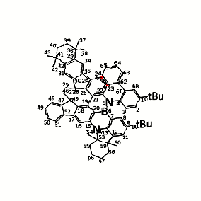 CC(C)(C)c1ccc(N2B3c4cc(C(C)(C)C)cc5c4N(c4cc6c(c(c43)-c3c2ccc2c3C(C)(C)c3cc4c(cc3-2)C(C)(C)CCC4(C)C)C(C)(C)c2ccccc2-6)C2(C)CCCCC52C)c(-c2ccccc2)c1